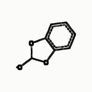 [O]C1Oc2ccccc2O1